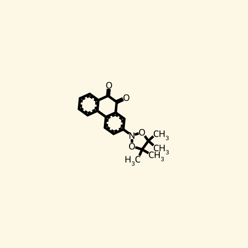 CC1(C)ON(c2ccc3c(c2)C(=O)C(=O)c2ccccc2-3)OC1(C)C